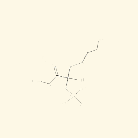 CCCCCCCCCCCCCCC(O)(C[N+](C)(CCCC)CCCC)C(=O)CCCCCCCCCCC.[Cl-]